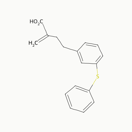 C=C(CCc1cccc(Sc2ccccc2)c1)C(=O)O